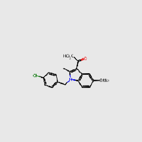 COc1ccc2c(c1)c(C(=O)C(=O)O)c(C)n2Cc1ccc(Cl)cc1